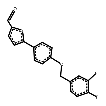 O=Cc1ccc(-c2ccc(OCc3ccc(F)c(F)c3)cc2)s1